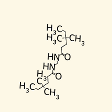 CCC(C)(C)CCC(=O)NCNC(=O)CCC(C)(C)CC